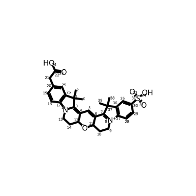 CC1(C)C2=C3C=C4C5=[N+](CCC4OC3CCN2c2ccc(CC(=O)O)cc21)c1ccc(S(=O)(=O)O)cc1C5(C)C